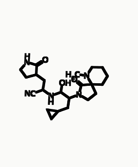 CN1CCCCC12CCN(C(CC1CC1)C(O)NC(C#N)CC1CCNC1=O)C2=O